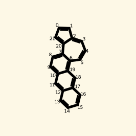 c1cc2cccc3c(ccc4cc5ccccc5cc43)c-2c1